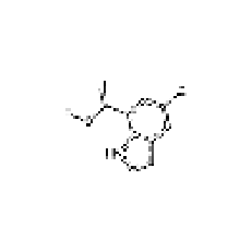 O=C(OF)c1cc(Cl)cc2cc[nH]c12